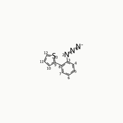 [N-]=[N+]=Nc1ccccc1-c1cccs1